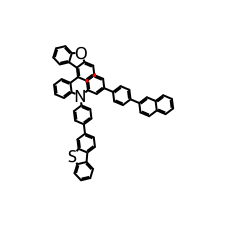 c1cc(-c2ccc(-c3ccc4ccccc4c3)cc2)cc(N(c2ccc(-c3ccc4c(c3)sc3ccccc34)cc2)c2ccccc2-c2cccc3oc4ccccc4c23)c1